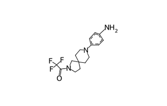 Nc1ccc(N2CCC3(CCN(C(=O)C(F)(F)F)C3)CC2)cc1